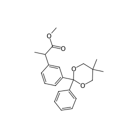 COC(=O)C(C)c1cccc(C2(c3ccccc3)OCC(C)(C)CO2)c1